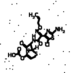 C=CCON=C(C(=O)NC1C(=O)N2C(OC(=O)O)=CCS[C@@H]12)c1nc(N)sc1Cl